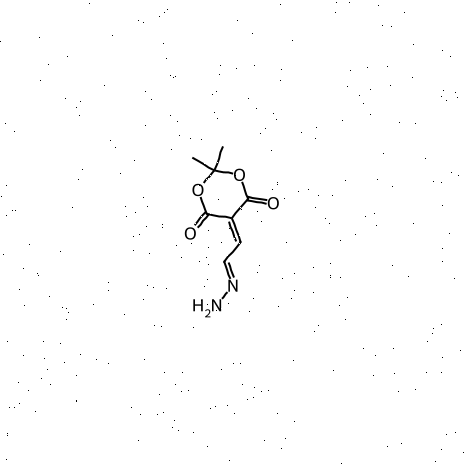 CC1(C)OC(=O)C(=CC=NN)C(=O)O1